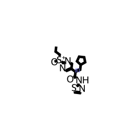 CCC[S+]([O-])c1ncc(/C(=C\C2CCCC2)C(=O)Nc2nccs2)cn1